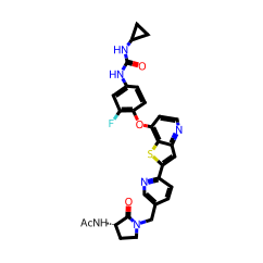 CC(=O)N[C@H]1CCN(Cc2ccc(-c3cc4nccc(Oc5ccc(NC(=O)NC6CC6)cc5F)c4s3)nc2)C1=O